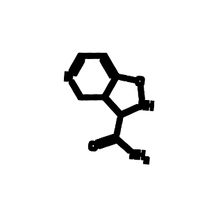 NC(=O)C1NOC2=CC=NCC21